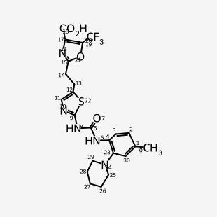 Cc1ccc(NC(=O)Nc2ncc(CCc3nc(C(=O)O)c(C(F)(F)F)o3)s2)c(N2CCCCC2)c1